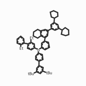 CCc1ccccc1-c1ccc(N(c2ccc(-c3cc(C(C)(C)C)cc(C(C)(C)C)c3)cc2)c2cccc(-c3cc(-c4cc(C5CCCCC5)cc(C5CCCCC5)c4)cc4c3CCCC4)c2)cc1CC